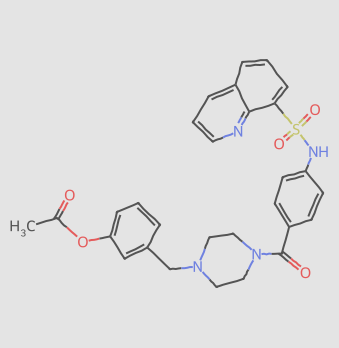 CC(=O)Oc1cccc(CN2CCN(C(=O)c3ccc(NS(=O)(=O)c4cccc5cccnc45)cc3)CC2)c1